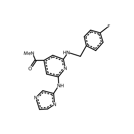 CNC(=O)c1cc(NCc2ccc(F)cc2)nc(Nc2cnccn2)c1